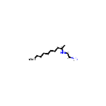 CCCCCCCCCCCCCCCC(C)NCCN